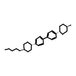 CCCCC[C@H]1CC[C@H](c2ccc(-c3ccc([C@H]4CC[C@H](C)CC4)cc3)cc2)CC1